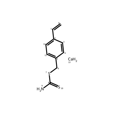 C=Cc1ccc(CSC(N)=S)cc1.[CaH2]